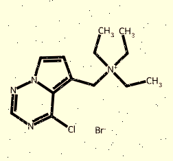 CC[N+](CC)(CC)Cc1ccn2ncnc(Cl)c12.[Br-]